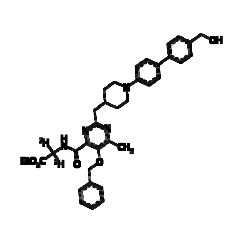 [2H]C([2H])(NC(=O)c1nc(CC2CCN(c3ccc(-c4ccc(CO)cc4)cc3)CC2)nc(C)c1OCc1ccccc1)C(=O)OCC